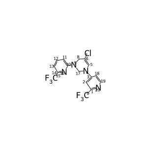 FC(F)(F)c1cc(N2C=C(Cl)CN(c3cccc(C(F)(F)F)n3)C2)ccn1